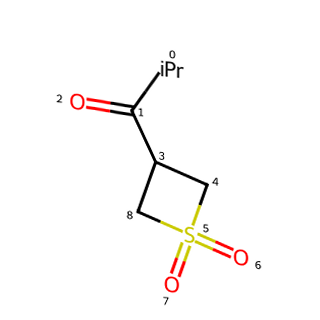 CC(C)C(=O)C1CS(=O)(=O)C1